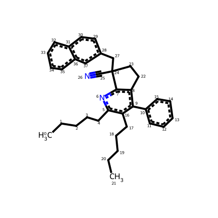 CCCCCc1nc2c(c(-c3ccccc3)c1CCCCC)CCC2(C#N)Cc1ccc2ccccc2c1